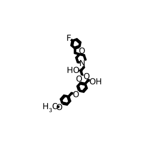 COc1ccc(COc2ccc(C(=O)O)c(OC[C@@H](O)CN3CCC4(CC3)Cc3cc(F)ccc3O4)c2)cc1